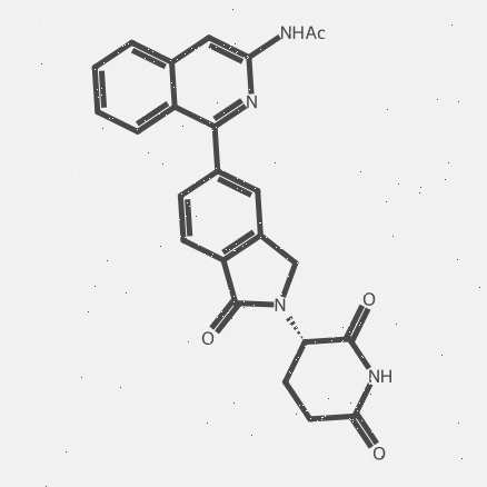 CC(=O)Nc1cc2ccccc2c(-c2ccc3c(c2)CN([C@H]2CCC(=O)NC2=O)C3=O)n1